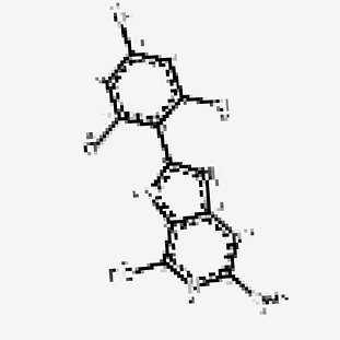 COc1nc(C(F)(F)F)c2nc(-c3c(Cl)cc(C(F)(F)F)cc3Cl)[nH]c2n1